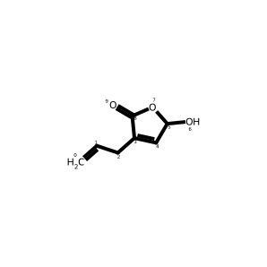 C=CCC1=CC(O)OC1=O